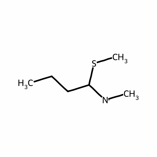 CCCC([N]C)SC